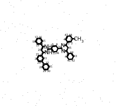 CC1C=C(C2=NC(C3C=CC(C4NC(c5ccccc5)=CC(c5cccc(-c6ccccc6)c5)N4)=CC3)=NC(C3=CCCC=C3)C2)C=CC1